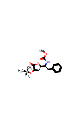 CC(C)(C)OC(=O)N[C@@H](Cc1ccccc1)[C@@H]1CC(O[Si](C)(C)C)C(=O)O1